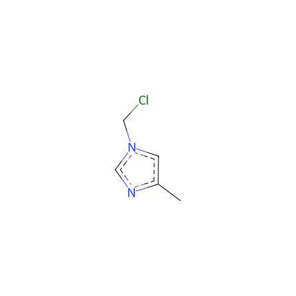 Cc1cn(CCl)cn1